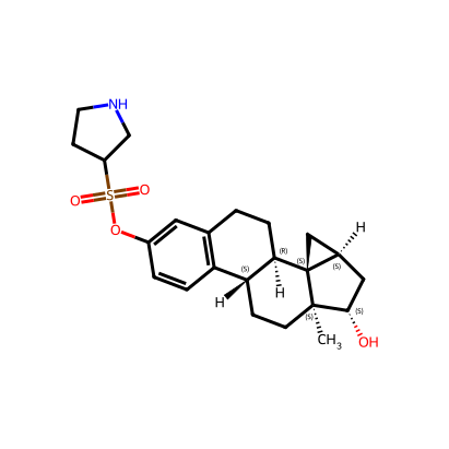 C[C@]12CC[C@@H]3c4ccc(OS(=O)(=O)C5CCNC5)cc4CC[C@H]3[C@@]13C[C@H]3C[C@@H]2O